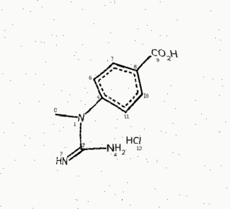 CN(C(=N)N)c1ccc(C(=O)O)cc1.Cl